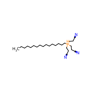 CCCCCCCCCCCCCCCC[PH](CCC#N)(CCC#N)CCC#N